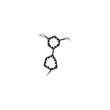 Cc1[c]c(C)cc(-c2ccc(F)cc2)c1